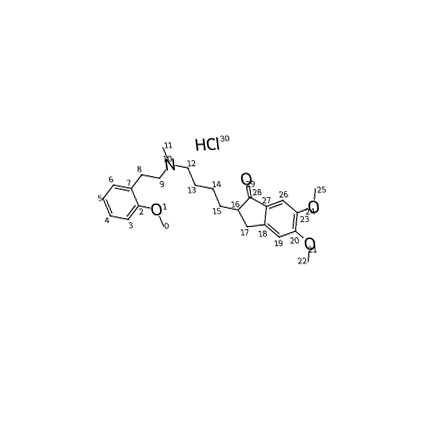 COc1ccccc1CCN(C)CCCCC1Cc2cc(OC)c(OC)cc2C1=O.Cl